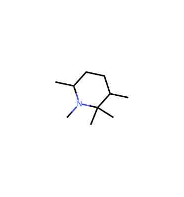 CC1CCC(C)C(C)(C)N1C